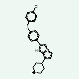 Clc1ccc(Oc2ccc(-c3cn4ncc(C5CCNCC5)c4[nH]3)cc2)cc1